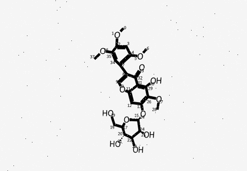 COc1cc(OC)c(-c2coc3cc(O[C@@H]4OC(CO)[C@@H](O)C(O)[C@@H]4O)c(OC)c(O)c3c2=O)cc1OC